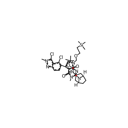 Cn1nc2ccc(-c3cn(COCC[Si](C)(C)C)c4nc(N5[C@@H]6CC[C@H]5C[C@@H](NC(=O)OC(C)(C)C)C6)n(C)c(=O)c34)c(Cl)c2c1Cl